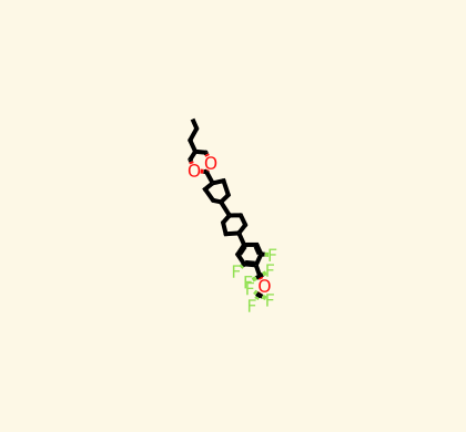 CCCC1COC(C2CCC(C3CCC(c4cc(F)c(C(F)(F)OC(F)(F)F)c(F)c4)CC3)CC2)OC1